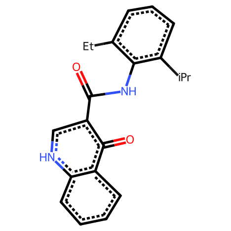 CCc1cccc(C(C)C)c1NC(=O)c1c[nH]c2ccccc2c1=O